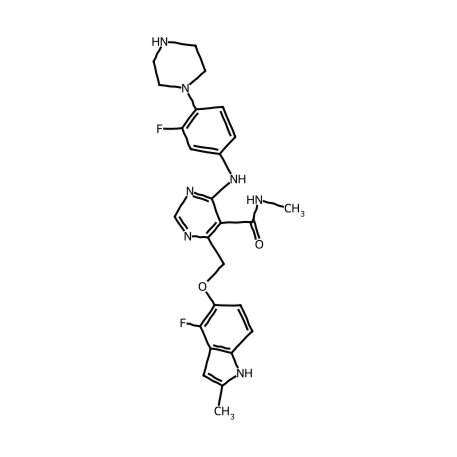 CNC(=O)c1c(COc2ccc3[nH]c(C)cc3c2F)ncnc1Nc1ccc(N2CCNCC2)c(F)c1